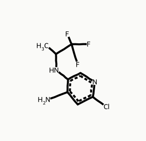 CC(Nc1cnc(Cl)cc1N)C(F)(F)F